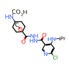 CC(C)Nc1cc(Cl)ncc1C(=O)NNC(=O)C12CCC(NC(=O)O)(CC1)CO2